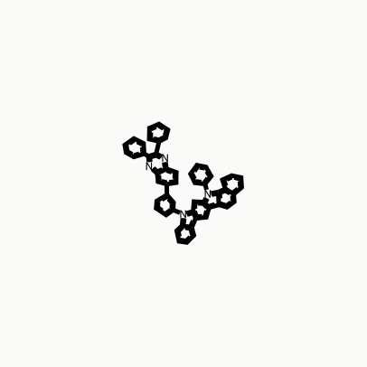 c1ccc(-c2nc3ccc(-c4cccc(-n5c6ccccc6c6cc7c8ccc9ccccc9c8n(-c8ccccc8)c7cc65)c4)cc3nc2-c2ccccc2)cc1